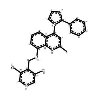 Cc1cc(-n2ccnc2-c2ccccc2)c2cccc(OCc3c(Cl)cncc3Cl)c2n1